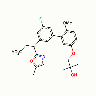 COc1ccc(OCC(C)(C)O)cc1-c1cc(F)cc(C(CC(=O)O)c2ncc(C)o2)c1